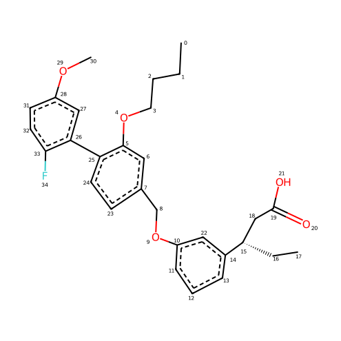 CCCCOc1cc(COc2cccc([C@@H](CC)CC(=O)O)c2)ccc1-c1cc(OC)ccc1F